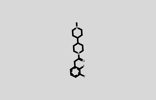 CN1CCC(C2CCN(C(=O)[CH]c3cccc(F)c3F)CC2)CC1